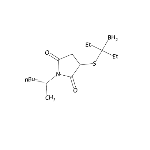 BC(CC)(CC)SC1CC(=O)N([C@H](C)CCCC)C1=O